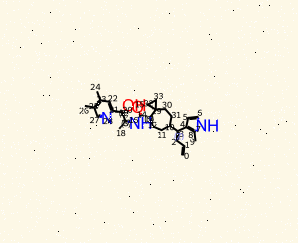 C=C/C=C(\c1cc[nH]c1C)C1CC[C@H](C(=O)N[C@@H](C)[C@@H](O)c2cc(C)c(C)cn2)C2(CC1)CC2